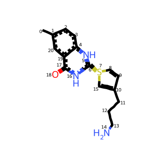 Cc1ccc2[nH]c(=S3C=CC(CCCN)=C3)[nH]c(=O)c2c1